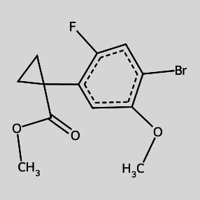 COC(=O)C1(c2cc(OC)c(Br)cc2F)CC1